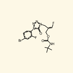 CC(C)(C)NC(=O)OC/C(=C/F)Cn1nnn(-c2ccc(Br)cc2F)c1=O